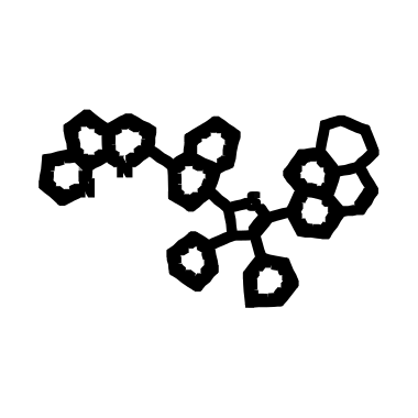 C1=CC2CCCCc3ccc4c(C5=C(c6ccccc6)C(c6ccccc6)C(c6ccc(-c7ccc8ccc9cccnc9c8n7)c7ccccc67)S5)ccc1c4c32